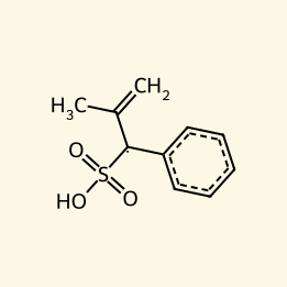 C=C(C)[C](c1ccccc1)S(=O)(=O)O